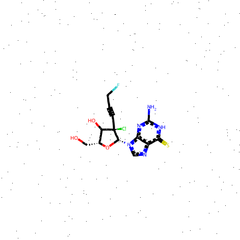 Nc1nc2c(ncn2[C@@H]2O[C@H](CO)C(O)[C@]2(Cl)C#CCF)c(=S)[nH]1